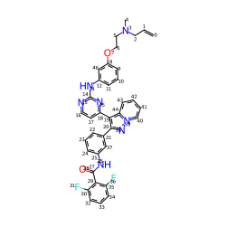 C=CCN(C)CCOc1cccc(Nc2nccc(-c3c(-c4cccc(NC(=O)c5c(F)cccc5F)c4)nn4ccccc34)n2)c1